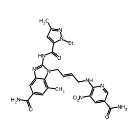 CCn1nc(C)cc1C(=O)Nc1nc2cc(C(N)=O)cc(C)c2n1C/C=C/CNc1ncc(C(N)=O)cc1[N+](=O)[O-]